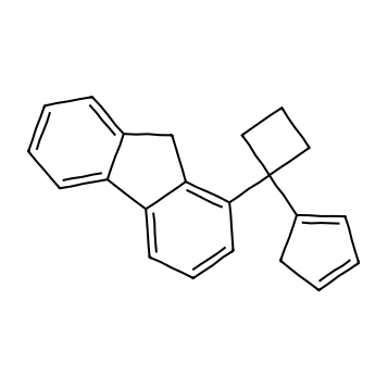 C1=CCC(C2(c3cccc4c3Cc3ccccc3-4)CCC2)=C1